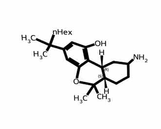 CCCCCCC(C)(C)c1cc(O)c2c(c1)OC(C)(C)[C@H]1CCC(N)C[C@@H]21